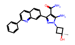 C[C@]1(O)C[C@@H](n2nc(-c3ccc4ccc(-c5ccccc5)nc4c3)c(C(N)=O)c2N)C1